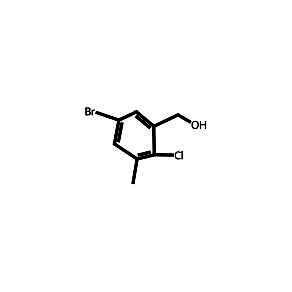 Cc1cc(Br)cc(CO)c1Cl